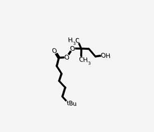 CC(C)(C)CCCCCC(=O)OOC(C)(C)CCO